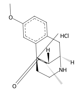 COc1ccc2c(c1)[C@]13CCN[C@H](C2)[C@@H]1[C@@H](C)CC(=O)C3.Cl